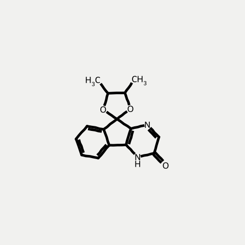 CC1OC2(OC1C)c1ccccc1-c1[nH]c(=O)cnc12